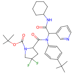 CC(C)(C)OC(=O)N1CC(F)(F)CC1C(=O)N(c1ccc(C(C)(C)C)cc1)C(C(=O)NC1CCCCC1)c1cccnc1